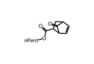 CCCCCOC(=O)C1CC2C=CC1C2=O